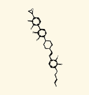 C/C=C/CCc1ccc(/C=C/C2CCC(c3ccc(-c4ccc(C5CO5)c(F)c4F)c(F)c3F)CC2)c(F)c1F